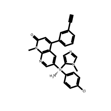 C#Cc1cccc(-c2cc(=O)n(C)c3ncc([Si@](N)(c4ccc(Cl)cc4)c4cncn4C)cc23)c1